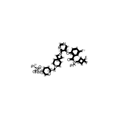 CC(C)N(C(=O)c1cc(F)ccc1Oc1cncnc1N1CC2(CCN(C[C@@H]3CC[C@@H](NS(=O)(=O)C(C)C)CO3)CC2)C1)C1CC(F)(F)C1